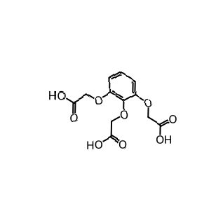 O=C(O)COc1cccc(OCC(=O)O)c1OCC(=O)O